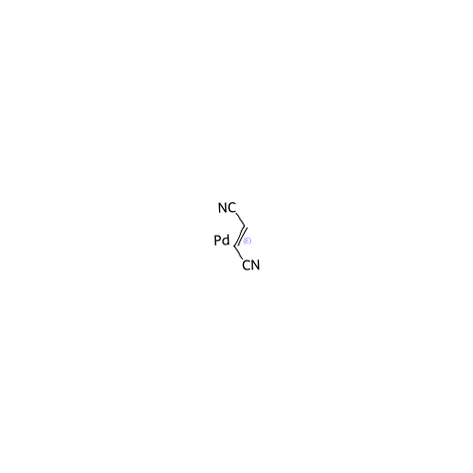 N#C/C=C/C#N.[Pd]